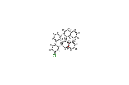 Clc1ccc(-c2ccccc2-c2ccccc2-c2cccc3cccc(-c4ccccc4)c23)cc1